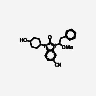 COC(Cc1ccccc1)n1c(=O)n(C2CCC(O)CC2)c2ccc(C#N)cc21